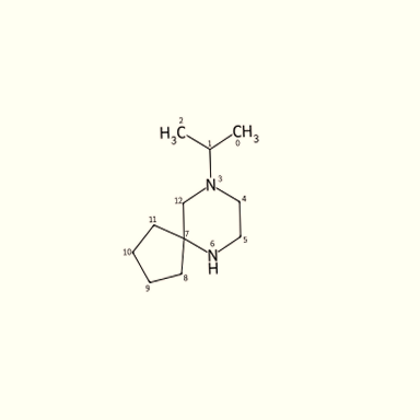 CC(C)N1CCNC2(CCCC2)C1